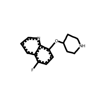 Fc1ccc(OC2CCNCC2)c2ncccc12